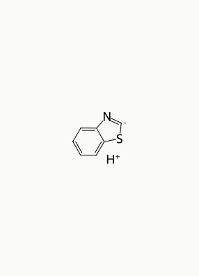 [H+].[c]1nc2ccccc2s1